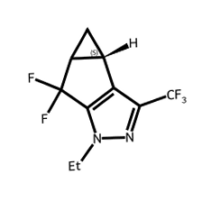 CCn1nc(C(F)(F)F)c2c1C(F)(F)C1C[C@H]21